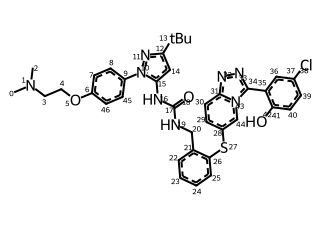 CN(C)CCOc1ccc(-n2nc(C(C)(C)C)cc2NC(=O)NCc2ccccc2Sc2ccc3nnc(-c4cc(Cl)ccc4O)n3c2)cc1